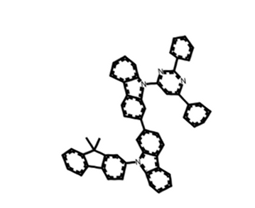 CC1(C)c2ccccc2-c2ccc(-n3c4ccccc4c4ccc(-c5ccc6c7ccccc7n(-c7cc(-c8ccccc8)nc(-c8ccccc8)n7)c6c5)cc43)cc21